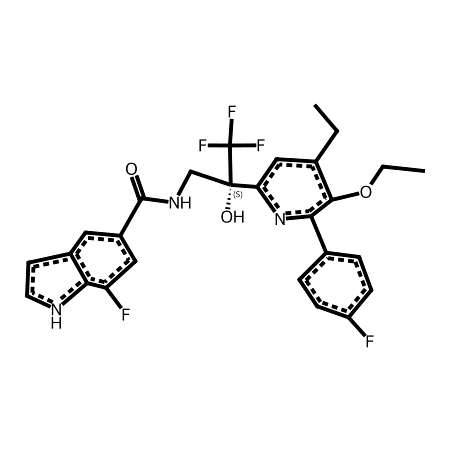 CCOc1c(CC)cc([C@@](O)(CNC(=O)c2cc(F)c3[nH]ccc3c2)C(F)(F)F)nc1-c1ccc(F)cc1